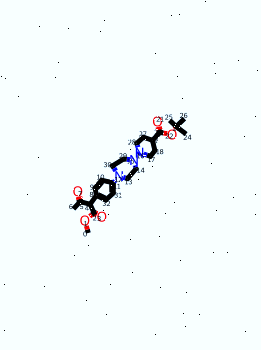 COC(=O)C(C(C)=O)c1ccc(N2CCN(N3CCC(C(=O)OC(C)(C)C)CC3)CC2)cc1